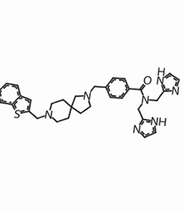 O=C(c1ccc(CN2CCC3(CCN(Cc4cc5ccccc5s4)CC3)C2)cc1)N(Cc1ncc[nH]1)Cc1ncc[nH]1